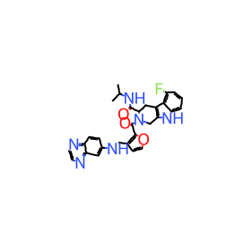 CC(C)NC(=O)C1Cc2c([nH]c3cccc(F)c23)CN1C(=O)c1occc1CNc1ccc2nccnc2c1